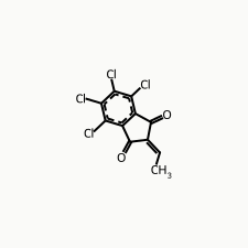 CC=C1C(=O)c2c(Cl)c(Cl)c(Cl)c(Cl)c2C1=O